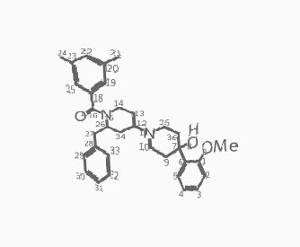 COc1ccccc1C1(O)CCN(C2CCN(C(=O)c3cc(C)cc(C)c3)C(Cc3ccccc3)C2)CC1